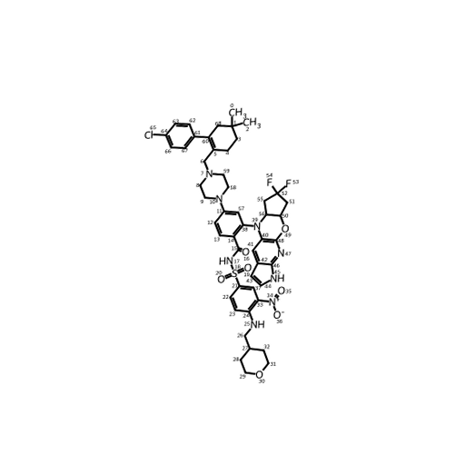 CC1(C)CCC(CN2CCN(c3ccc(C(=O)NS(=O)(=O)c4ccc(NCC5CCOCC5)c([N+](=O)[O-])c4)c(N4c5cc6cc[nH]c6nc5OC5CC(F)(F)CC54)c3)CC2)=C(c2ccc(Cl)cc2)C1